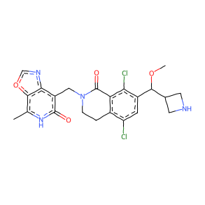 COC(c1cc(Cl)c2c(c1Cl)C(=O)N(Cc1c(=O)[nH]c(C)c3ocnc13)CC2)C1CNC1